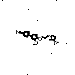 COc1cc(-c2ccc(C#N)cc2)ccc1OCCCN1CC[C@@H](N(C)C)C1